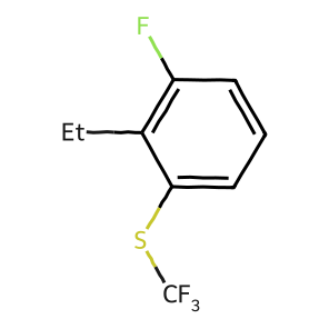 [CH2]Cc1c(F)cccc1SC(F)(F)F